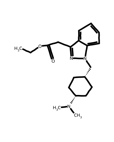 CCOC(=O)Cc1nn(C[C@H]2CC[C@@H](N(C)C)CC2)c2ccccc12